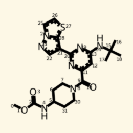 COC(=O)NC1CCN(C(=O)c2cc(NC(C)(C)C)nc(-c3cnn4ccsc34)n2)CC1